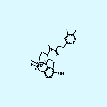 Cc1ccc(CCC(=O)N(C)C2CC[C@@]3(O)[C@H]4Cc5ccc(O)c6c5[C@@]3(CCN4C)C2O6)cc1C